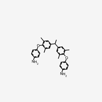 Cc1cc(C(C)c2cc(C)c(Oc3ccc(N)cc3)c(C)c2)cc(C)c1Oc1ccc(N)cc1